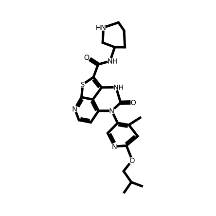 Cc1cc(OCC(C)C)ncc1N1C(=O)Nc2c(C(=O)NC3CCCNC3)sc3nccc1c23